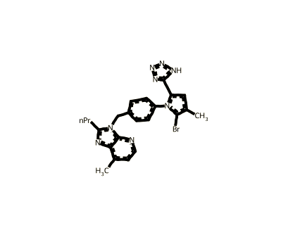 CCCc1nc2c(C)ccnc2n1Cc1ccc(-n2c(-c3nnn[nH]3)cc(C)c2Br)cc1